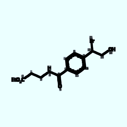 CCOC(=O)CCNC(=O)c1ccc(C(Br)CO)cc1